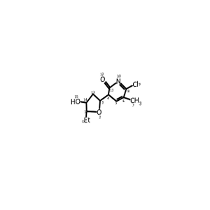 CCC1OC(C2C=C(C)C(Cl)=NC2=O)CC1O